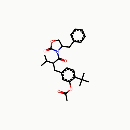 CC(=O)Oc1cc(CC(C(=O)N2C(=O)OCC2Cc2ccccc2)C(C)C)ccc1C(C)(C)C